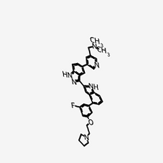 CN(C)Cc1cncc(-c2ccc3[nH]nc(-c4cc5c(-c6cc(F)cc(OCCN7CCCC7)c6)cccc5[nH]4)c3c2)c1